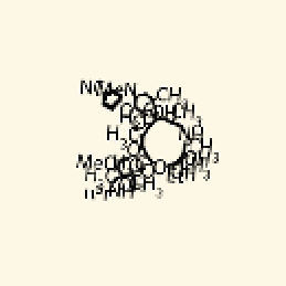 CCCNC[C@]1(O)[C@H](C)O[C@@H](O[C@H]2[C@H](C)[C@@H](O[C@@H]3O[C@H](C)C[C@H](NC)[C@H]3Oc3ccc(C#N)cc3)[C@](C)(O)C[C@@H](C)CN[C@H](C)[C@@H](O)[C@](C)(O)[C@@H](CC)OC(=O)[C@@H]2C)C[C@@]1(C)OC